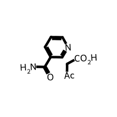 CC(=O)CC(=O)O.NC(=O)c1cccnc1